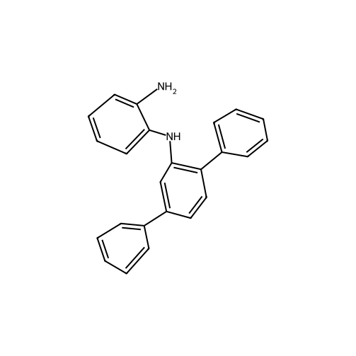 Nc1ccccc1Nc1cc(-c2ccccc2)ccc1-c1ccccc1